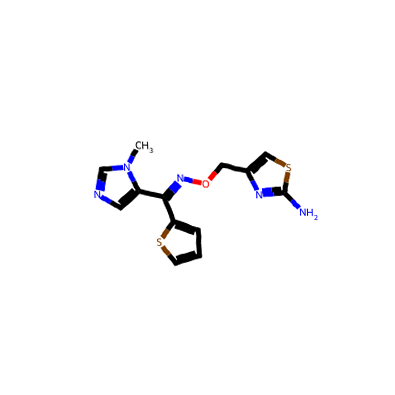 Cn1cncc1C(=NOCc1csc(N)n1)c1cccs1